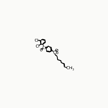 CCCCCCC[CH2][Co](=[O])[c]1cc[c]([Co](=[O])[c]2cccc(Cl)c2Cl)cc1